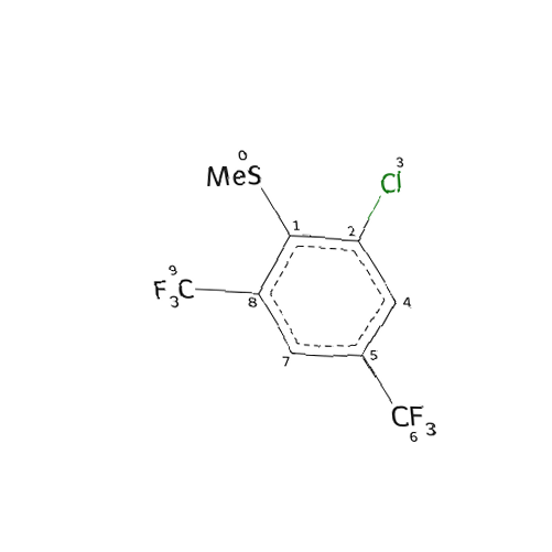 CSc1c(Cl)cc(C(F)(F)F)cc1C(F)(F)F